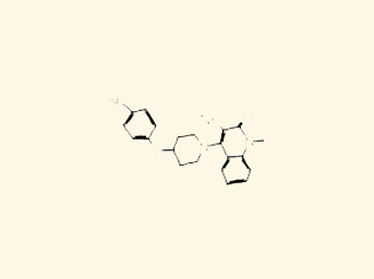 Cn1c(=O)c(C#N)c(N2CCC(Oc3ccc(Br)cc3)CC2)c2ccccc21